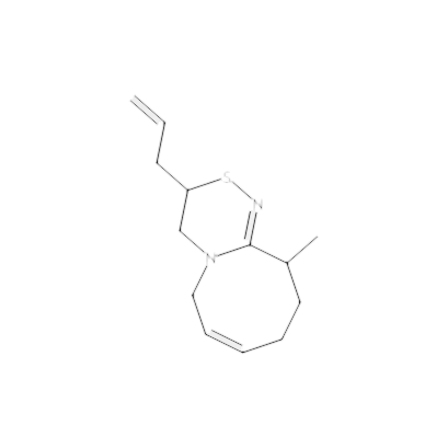 C=CCC1CN2C/C=C\CCC(C)C2=NS1